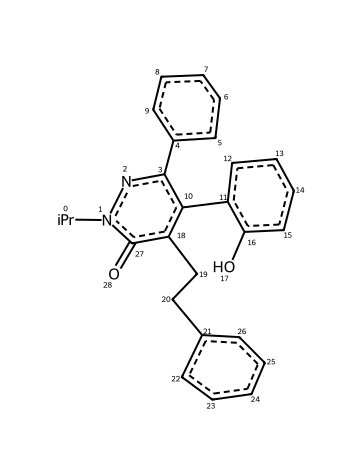 CC(C)n1nc(-c2ccccc2)c(-c2ccccc2O)c(CCc2ccccc2)c1=O